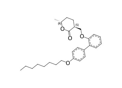 CCCCCCCCOc1ccc(-c2ccccc2OC[C@@H]2CC[C@@H](C)OC2=O)cc1